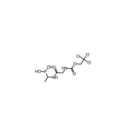 CC(NC(=O)CNC(=O)OCC(Cl)(Cl)Cl)P(O)O